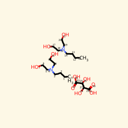 CCCCN(CCO)CCO.CCCCN(CCO)CCO.O=C(O)C(O)C(O)C(=O)O